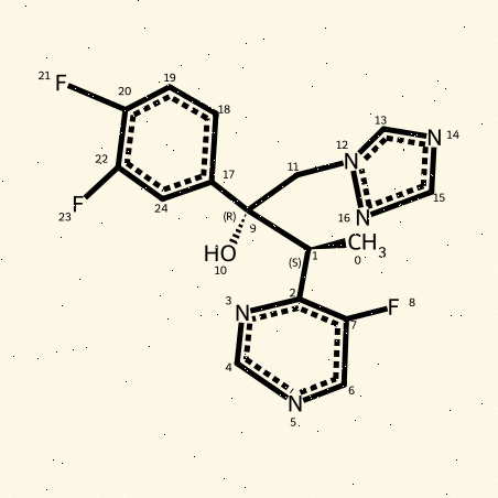 C[C@@H](c1ncncc1F)[C@](O)(Cn1cncn1)c1ccc(F)c(F)c1